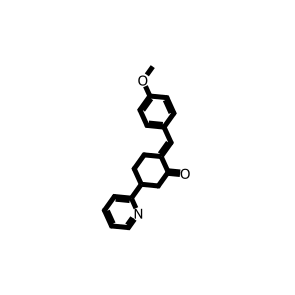 COc1ccc(C=C2CCC(c3ccccn3)CC2=O)cc1